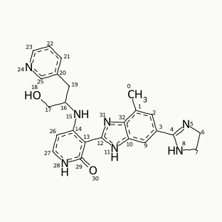 Cc1cc(C2=NCCN2)cc2[nH]c(-c3c(NC(CO)Cc4cccnc4)cc[nH]c3=O)nc12